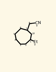 CCC1CCCCCC(CC#N)C1